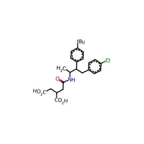 CC(NC(=O)CC(CC(=O)O)C(=O)O)C(Cc1ccc(Cl)cc1)c1ccc(C(C)(C)C)cc1